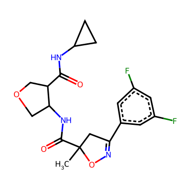 CC1(C(=O)NC2COCC2C(=O)NC2CC2)CC(c2cc(F)cc(F)c2)=NO1